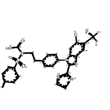 Cc1ccc(S(=O)(=O)N(CCc2ccc(-n3c(-c4nccs4)nc4cc(C(F)(F)F)c(Cl)cc43)cc2)C(=O)O)cc1